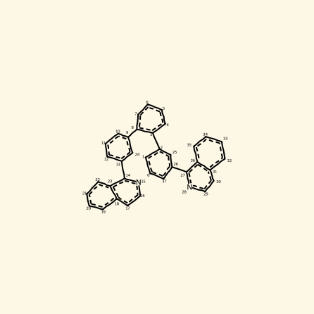 c1cc(-c2ccccc2-c2cccc(-c3nccc4ccccc34)c2)cc(-c2nccc3ccccc23)c1